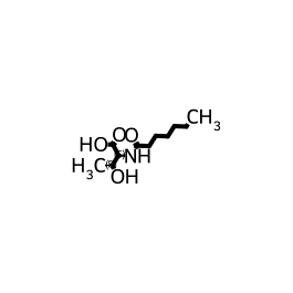 CCCCCCC(=O)N[C@H](C(=O)O)[C@@H](C)O